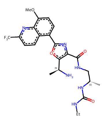 CCNC(=O)N[C@@H](C)CNC(=O)c1nc(-c2ccc(OC)c3nc(C(F)(F)F)ccc23)oc1[C@H](C)N